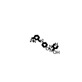 CN(Cc1cccc2cn(C)nc12)c1ccc(Oc2nc(O)c3ccncc3n2)cc1